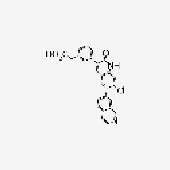 O=C(O)Cc1cccc(-c2cc3cc(-c4ccc5ccncc5c4)c(Cl)cc3[nH]c2=O)c1